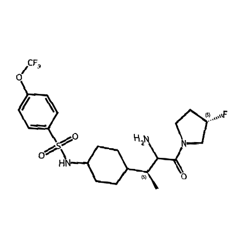 C[C@@H](C1CCC(NS(=O)(=O)c2ccc(OC(F)(F)F)cc2)CC1)C(N)C(=O)N1CC[C@H](F)C1